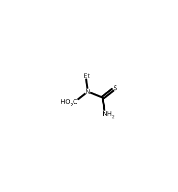 CCN(C(=O)O)C(N)=S